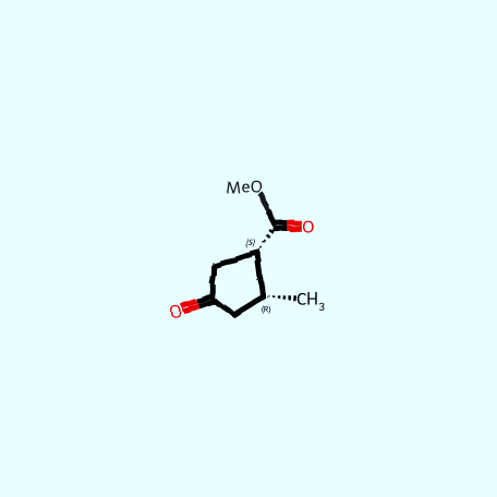 COC(=O)[C@H]1CC(=O)C[C@H]1C